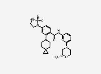 C[C@@H]1CN(c2cccc(NC(=O)c3ccc(N4CCNS4(=O)=O)cc3N3CCC4(CC3)CC4)n2)CCO1